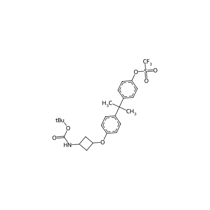 CC(C)(C)OC(=O)NC1CC(Oc2ccc(C(C)(C)c3ccc(OS(=O)(=O)C(F)(F)F)cc3)cc2)C1